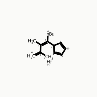 C=C(C)C(C)=C(CCCC)C1C=CC=C1.[Hf]